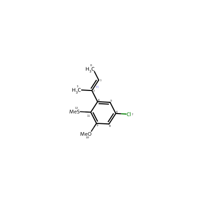 C/C=C(\C)c1cc(Cl)cc(OC)c1SC